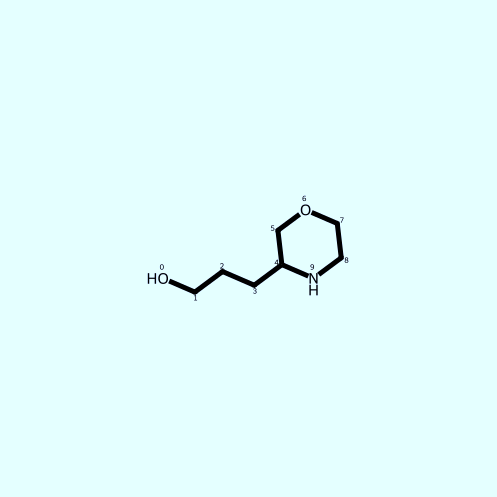 OCCCC1COCCN1